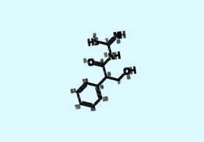 N=C(S)NC(=O)C(CO)c1ccccc1